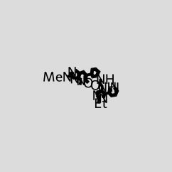 CCc1ncc(NC(=O)Nc2cccc(-c3cc4cnc(NC)nc4n(C)c3=O)c2)c(-c2cccnc2)n1